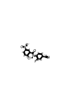 CN(C(=O)c1cc([N+](=O)[O-])ccc1Cl)c1ccc(C#N)cc1F